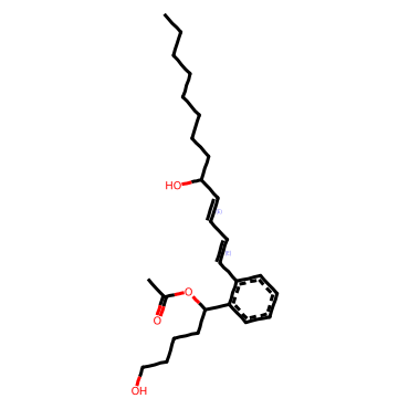 CCCCCCCCC(O)/C=C/C=C/c1ccccc1C(CCCCO)OC(C)=O